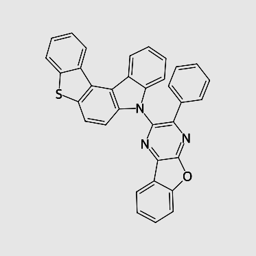 c1ccc(-c2nc3oc4ccccc4c3nc2-n2c3ccccc3c3c4c(ccc32)sc2ccccc24)cc1